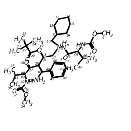 COC(=O)N[C@H](C(=O)NN(CC1CCCCC1)C[C@H](OC(=O)C(C)(C)C)C(C(=O)[C@@H](NC(=O)OC)C(C)C)C(N)c1ccccc1)C(C)C